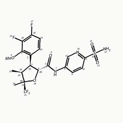 COc1c([C@H]2[C@H](C(=O)Nc3ccc(S(N)(=O)=O)nc3)O[C@@](C)(C(F)(F)F)[C@H]2C)ccc(F)c1F